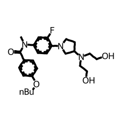 CCCCOc1ccc(C(=O)N(C)c2ccc(N3CCC(N(CCO)CCO)C3)c(F)c2)cc1